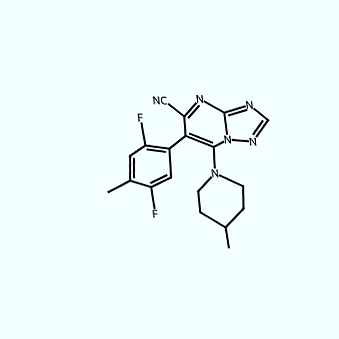 Cc1cc(F)c(-c2c(C#N)nc3ncnn3c2N2CCC(C)CC2)cc1F